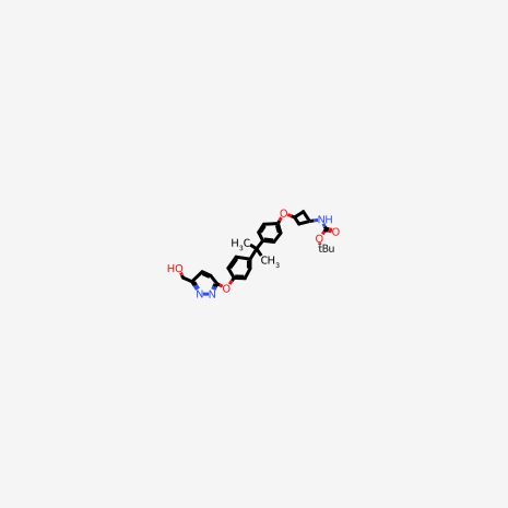 CC(C)(C)OC(=O)NC1CC(Oc2ccc(C(C)(C)c3ccc(Oc4ccc(CO)nn4)cc3)cc2)C1